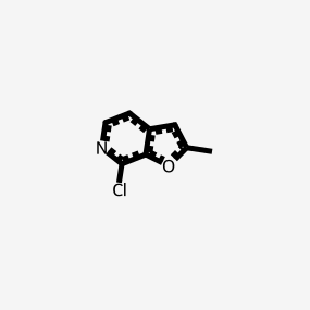 Cc1cc2ccnc(Cl)c2o1